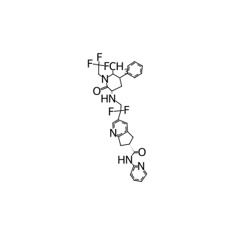 CC1C(c2ccccc2)C[C@H](NCC(F)(F)c2cnc3c(c2)C[C@H](C(=O)Nc2ccccn2)C3)C(=O)N1CC(F)(F)F